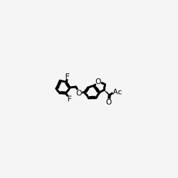 CC(=O)C(=O)[C@@H]1COc2cc(OCc3c(F)cccc3F)ccc21